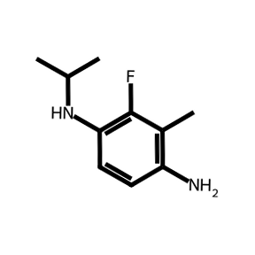 Cc1c(N)ccc(NC(C)C)c1F